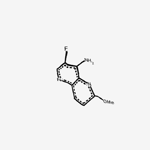 COc1ccc2ncc(F)c(N)c2n1